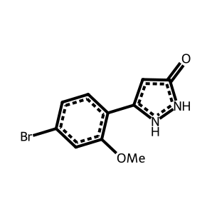 COc1cc(Br)ccc1-c1cc(=O)[nH][nH]1